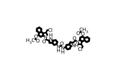 CC(=O)Oc1cc2c(c3ccccc13)C(CCl)CN2C(=O)c1cc2cc(NC(=O)Nc3ccc4[nH]c(C(=O)N5CC(CCl)c6c5cc(OC(C)=O)c5ccccc65)cc4c3)ccc2[nH]1